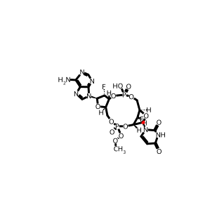 COOP1(=O)OC[C@H]2O[C@@H](n3cnc4c(N)ncnc43)[C@H](F)[C@@H]2OP(=O)(O)OC[C@H]2O[C@@H](n3ccc(=O)[nH]c3=O)[C@H](O1)[C@@H]2F